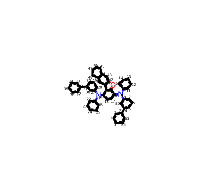 c1ccc(-c2cccc(N(c3ccccc3)c3ccc(N(c4ccccc4)c4cccc(-c5ccccc5)c4)c4c3oc3cc5ccccc5cc34)c2)cc1